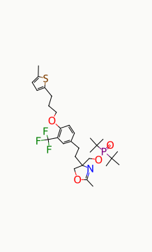 CC1=NC(CCc2ccc(OCCCc3ccc(C)s3)c(C(F)(F)F)c2)(COP(=O)(C(C)(C)C)C(C)(C)C)CO1